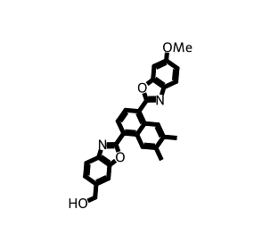 COc1ccc2nc(-c3ccc(-c4nc5ccc(CO)cc5o4)c4cc(C)c(C)cc34)oc2c1